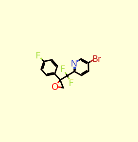 Fc1ccc(C2(C(F)(F)c3ccc(Br)cn3)CO2)cc1